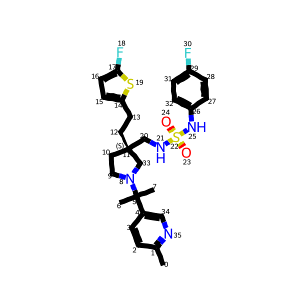 Cc1ccc(C(C)(C)N2CC[C@](CCc3ccc(F)s3)(CNS(=O)(=O)Nc3ccc(F)cc3)C2)cn1